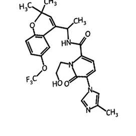 Cc1cn(-c2ccc(C(=O)NC(C)C3=CC(C)(C)Oc4ccc(OC(F)(F)F)cc43)n(CCO)c2=O)cn1